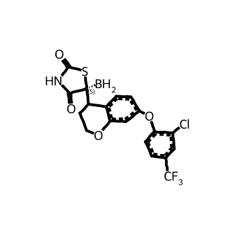 B[C@@]1(C2CCOc3cc(Oc4ccc(C(F)(F)F)cc4Cl)ccc32)SC(=O)NC1=O